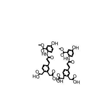 COC(=O)c1cc(O)ccc1NC(=O)/C=C/c1ccc(CC(=O)O)c(CC(=O)O)c1.COC(=O)c1cc(O)ccc1NC(=O)/C=C/c1ccc(CC(=O)O)c(CC(=O)O)c1